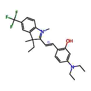 CCN(CC)c1ccc(/C=C/C2=[N+](C)c3ccc(C(F)(F)F)cc3C2(C)CC)c(O)c1